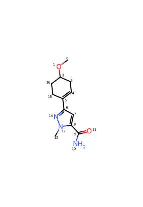 COC1CC=C(c2cc(C(N)=O)n(C)n2)CC1